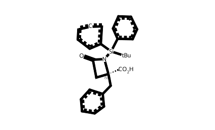 CC(C)(C)[Si](c1ccccc1)(c1ccccc1)N1C(=O)C[C@@]1(Cc1ccccc1)C(=O)O